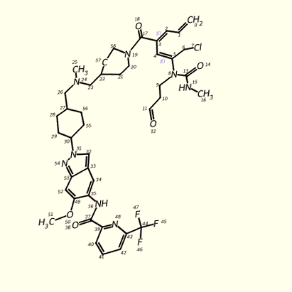 C=C/C=C(\C=C(/CCl)N(CCC=O)C(=O)NC)C(=O)N1CCC(CN(C)CC2CCC(n3cc4cc(NC(=O)c5cccc(C(F)(F)F)n5)c(OC)cc4n3)CC2)CC1